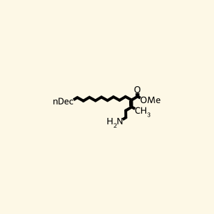 CCCCCCCCCCCCCCCCCCCC(C(=O)OC)=C(C)CCN